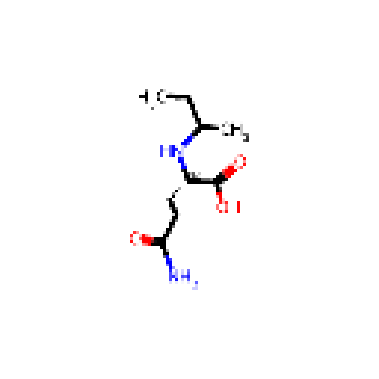 CCC(C)N[C@@H](CCC(N)=O)C(=O)O